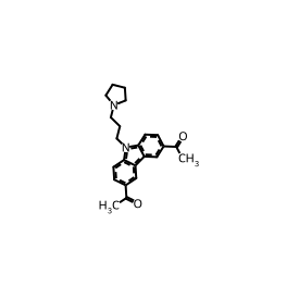 CC(=O)c1ccc2c(c1)c1cc(C(C)=O)ccc1n2CCCN1CCCC1